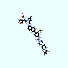 COC(=O)NC(C(=O)N1CC(C)CC1c1nc2c(ccc3cc(-c4ccc(NC(=O)N5CCN(C6CCN(C(=O)C(C)(C)C)CC6)CC5)cc4OC(F)(F)F)ccc32)[nH]1)C1CCOCC1